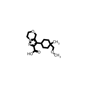 COCC1(C)CCC(c2c(C(=O)O)nn3c2COCC3)CC1